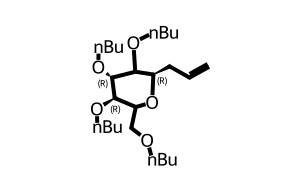 C=CC[C@H]1OC(COCCCC)[C@@H](OCCCC)[C@H](OCCCC)C1OCCCC